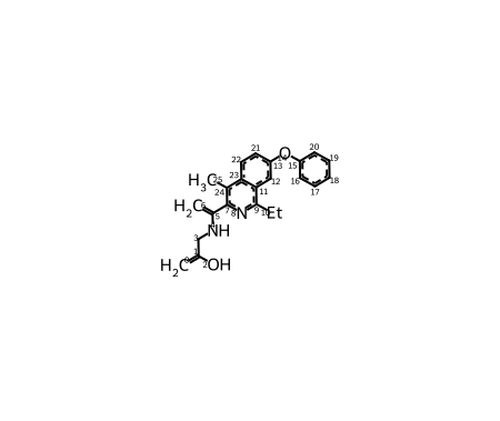 C=C(O)CNC(=C)c1nc(CC)c2cc(Oc3ccccc3)ccc2c1C